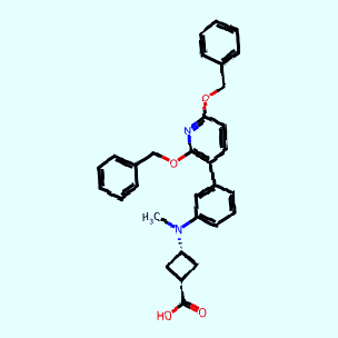 CN(c1cccc(-c2ccc(OCc3ccccc3)nc2OCc2ccccc2)c1)[C@H]1C[C@H](C(=O)O)C1